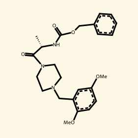 COc1ccc(OC)c(CN2CCN(C(=O)[C@H](C)NC(=O)OCc3ccccc3)CC2)c1